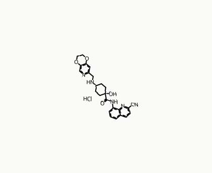 Cl.N#Cc1ccc2cccc(NC(=O)[C@]3(O)CC[C@@H](NCc4cc5c(cn4)OCCO5)CC3)c2n1